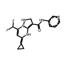 O=C(Nc1cccnc1)C1=C2NC(=C3CC3)C=C(C(F)F)N2NC1